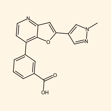 Cn1cc(-c2cc3nccc(-c4cccc(C(=O)O)c4)c3o2)cn1